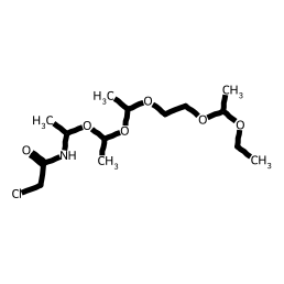 CCOC(C)OCCOC(C)OC(C)OC(C)NC(=O)CCl